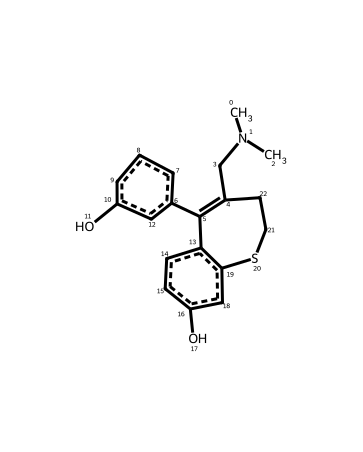 CN(C)CC1=C(c2cccc(O)c2)c2ccc(O)cc2SCC1